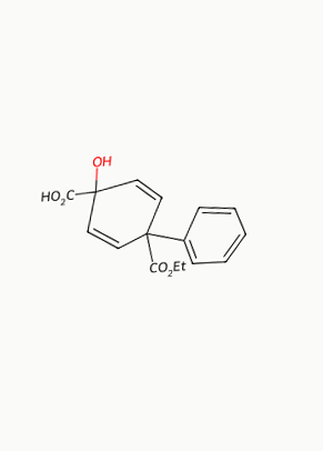 CCOC(=O)C1(c2ccccc2)C=CC(O)(C(=O)O)C=C1